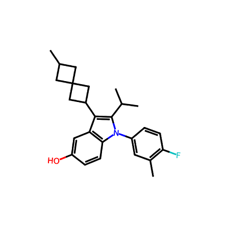 Cc1cc(-n2c(C(C)C)c(C3CC4(CC(C)C4)C3)c3cc(O)ccc32)ccc1F